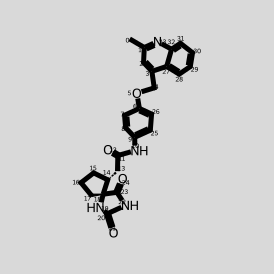 Cc1cc(COc2ccc(NC(=O)C[C@H]3CCC[C@@]34NC(=O)NC4=O)cc2)c2ccccc2n1